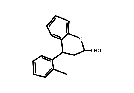 Cc1ccccc1C1CC(C=O)Oc2ccccc21